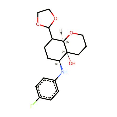 O[C@@]12CCCO[C@@H]1C(C1OCCO1)CC[C@@H]2Nc1ccc(F)cc1